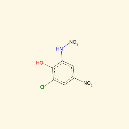 O=[N+]([O-])Nc1cc([N+](=O)[O-])cc(Cl)c1O